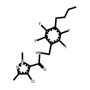 CCCCc1c(F)c(F)c(CNC(=O)c2c(Cl)c(C)nn2C)c(F)c1F